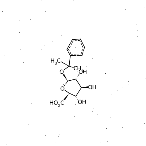 CC(C)(O[C@@H]1O[C@H](C(=O)O)[C@@H](O)[C@H](O)[C@H]1O)c1ccccc1